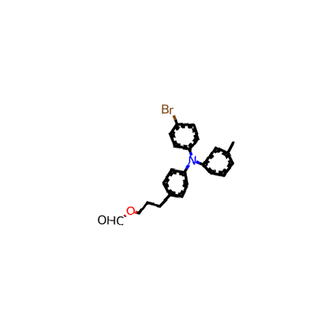 Cc1cccc(N(c2ccc(Br)cc2)c2ccc(CCCOC=O)cc2)c1